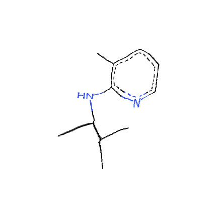 Cc1cccnc1NC(C)C(C)C